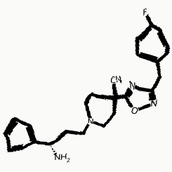 N#CC1(c2nc(Cc3ccc(F)cc3)no2)CCN(CC[C@H](N)c2ccccc2)CC1